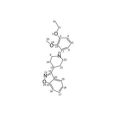 CCOc1[c]ccc(N2CCC(c3noc4ccccc34)CC2)c1OC